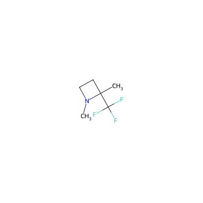 CN1CCC1(C)C(F)(F)F